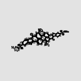 CNS(=O)(=O)c1ccc2c(c1)nc1c3ccc4c5c([N+](=O)[O-])cc6c(=O)n7c8ccc(S(=O)(=O)N(C)C)cc8nc7c7ccc(c8c(N)cc(c(=O)n21)c3c48)c5c67